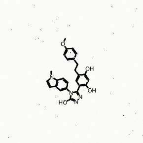 COc1ccc(CCc2cc(-c3nnc(O)n3-c3ccc4c(ccn4C)c3)c(O)cc2O)cc1